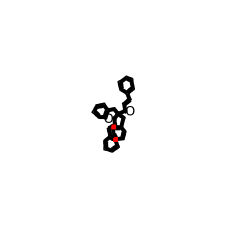 O=C(/C=C/c1ccccc1)C(Cc1ccccc1)(Cc1ccccc1)C(=O)/C=C/c1ccccc1